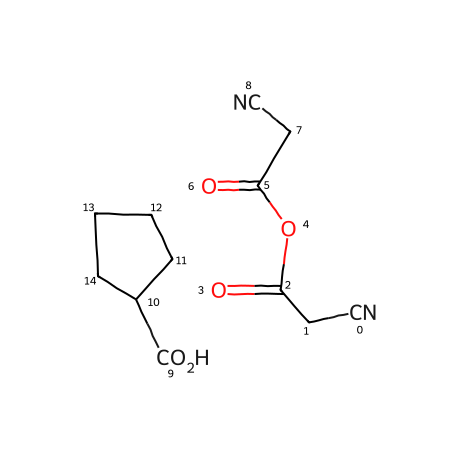 N#CCC(=O)OC(=O)CC#N.O=C(O)C1CCCC1